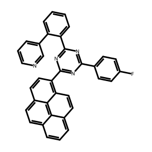 Fc1ccc(-c2nc(-c3ccccc3-c3cccnc3)nc(-c3ccc4ccc5cccc6ccc3c4c56)n2)cc1